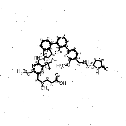 COc1nc(-c2cccc(-c3cccc4c3CC[C@@H]4Nc3nc(OC)c(CN(C)CCC(=O)O)nc3C(F)(F)F)c2Cl)ccc1CNC[C@@H]1CCC(=O)N1